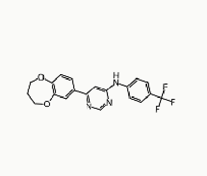 FC(F)(F)c1ccc(Nc2cc(-c3ccc4c(c3)OCCCO4)ncn2)cc1